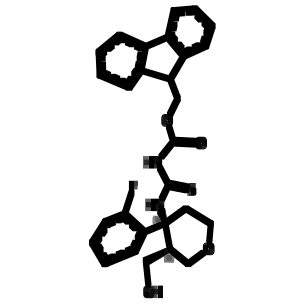 O=C(NC(=S)N[C@@]1(c2ccccc2F)CCOC[C@H]1CO)OCC1c2ccccc2-c2ccccc21